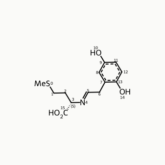 CSCC[C@H](N=CCc1cc(O)ccc1O)C(=O)O